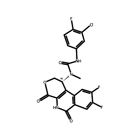 CN(C(=O)Nc1ccc(F)c(Cl)c1)[C@H]1COC(=O)c2[nH]c(=O)c3cc(F)c(F)cc3c21